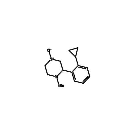 CC(C)(C)N1CC[S+]([O-])CC1c1ccccc1C1CC1